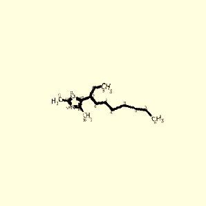 CCCCCCCC(CC)c1oc(C)nc1C